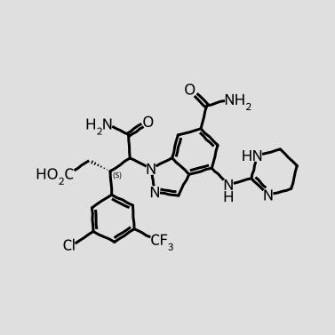 NC(=O)c1cc(NC2=NCCCN2)c2cnn(C(C(N)=O)[C@@H](CC(=O)O)c3cc(Cl)cc(C(F)(F)F)c3)c2c1